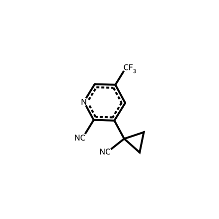 N#Cc1ncc(C(F)(F)F)cc1C1(C#N)CC1